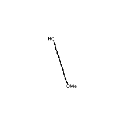 C#CC#CC#CC#CC#CC#CC#CC#CC#CC#CC#COC